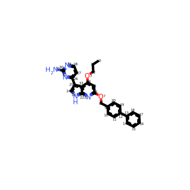 CCCOc1cc(OCc2ccc(-c3ccccc3)cc2)nc2[nH]cc(-c3ccnc(N)n3)c12